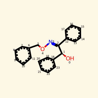 O[C@H](C(=NOCc1ccccc1)c1ccccc1)c1ccccc1